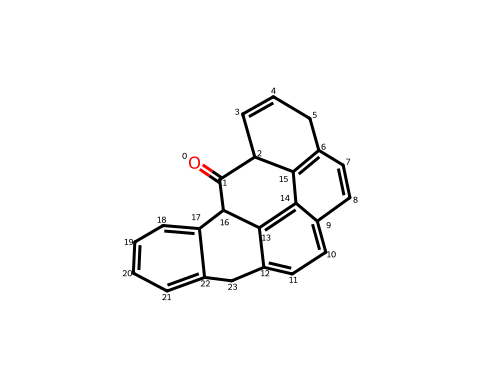 O=C1C2C=CCc3ccc4ccc5c(c4c32)C1c1ccccc1C5